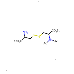 CCOC(=O)C(N)CSSCC(C(=O)OCC)N(C(C)=O)C(C)=O